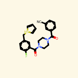 N#Cc1cccc(C(=O)N2CCN(C(=O)c3cc(C[SH]4C=CC=C4)ccc3F)CC2)c1